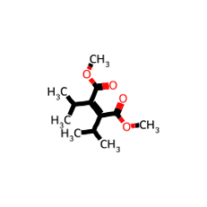 COC(=O)/C(=C(\C(=O)OC)C(C)C)C(C)C